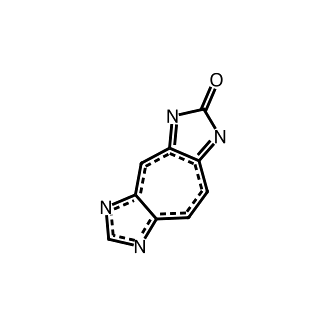 O=C1N=c2ccc3ncnc-3cc2=N1